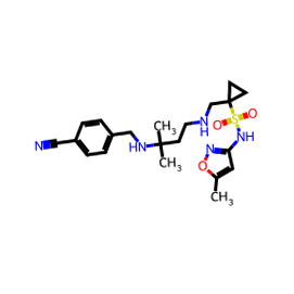 Cc1cc(NS(=O)(=O)C2(CNCCC(C)(C)NCc3ccc(C#N)cc3)CC2)no1